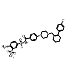 Nc1ccc(S(=O)(=O)NC(=O)c2ccc(N3CCN(CC4=C(c5ccc(Cl)cc5)CCCC4)CC3)cc2)cc1S(=O)(=O)C(F)(F)F